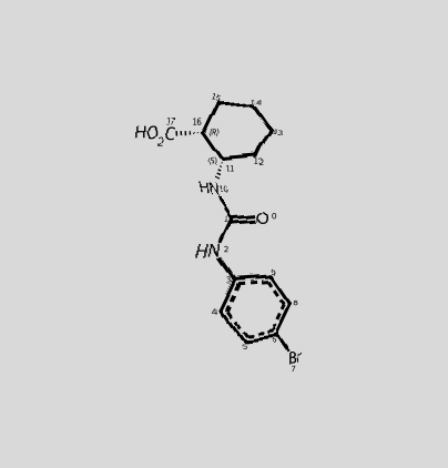 O=C(Nc1ccc(Br)cc1)N[C@H]1CCCC[C@H]1C(=O)O